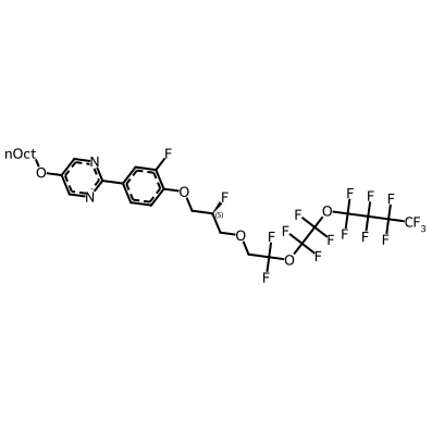 CCCCCCCCOc1cnc(-c2ccc(OC[C@@H](F)COCC(F)(F)OC(F)(F)C(F)(F)OC(F)(F)C(F)(F)C(F)(F)C(F)(F)F)c(F)c2)nc1